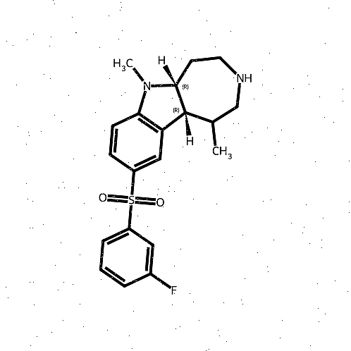 CC1CNCC[C@@H]2[C@H]1c1cc(S(=O)(=O)c3cccc(F)c3)ccc1N2C